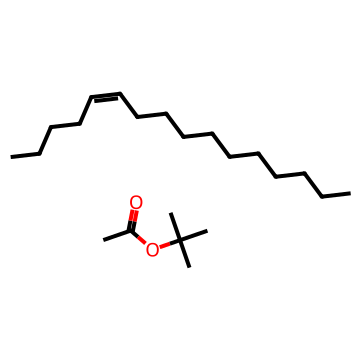 CC(=O)OC(C)(C)C.CCCC/C=C\CCCCCCCCCC